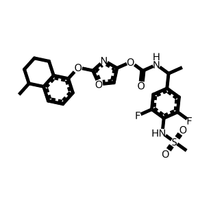 CC1CCCc2c(Oc3nc(OC(=O)NC(C)c4cc(F)c(NS(C)(=O)=O)c(F)c4)co3)cccc21